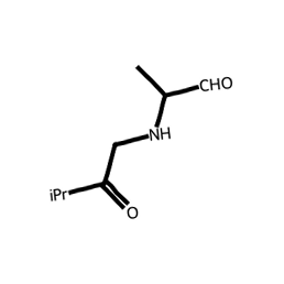 CC(C=O)NCC(=O)C(C)C